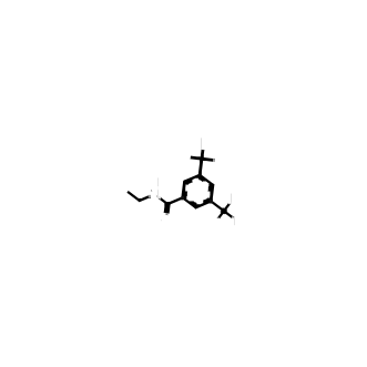 CCNC(=O)c1cc(C(F)(F)F)cc(C(F)(F)F)c1